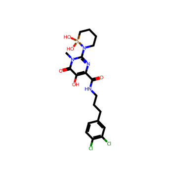 Cn1c(N2CCCCS2(O)O)nc(C(=O)NCCCc2ccc(Cl)c(Cl)c2)c(O)c1=O